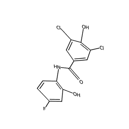 O=C(Nc1ccc(F)cc1O)c1cc(Cl)c(O)c(Cl)c1